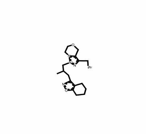 CC(C)Cc1n[n+](CC(C)Cc2noc3c2CCCC3)n2c1COCC2